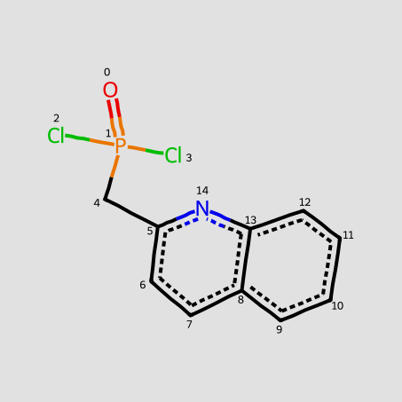 O=P(Cl)(Cl)Cc1ccc2ccccc2n1